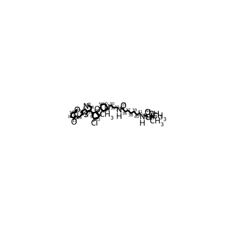 Cc1cc(Cl)cc(-c2ccnc3cc(CN4C(=O)CCC4=O)sc23)c1OC1CCN(CCCNC(=O)CCCCCCNC(=O)OC(C)(C)C)CC1